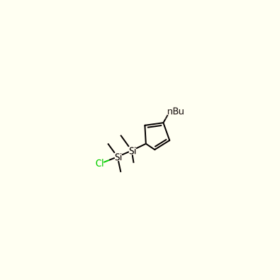 CCCCC1=CC([Si](C)(C)[Si](C)(C)Cl)C=C1